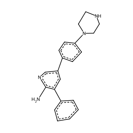 Nc1ncc(-c2ccc(N3CCNCC3)cc2)cc1-c1ccccc1